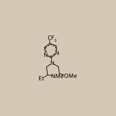 CCC(CN(CCOC)c1ncc(C(F)(F)F)cn1)NC